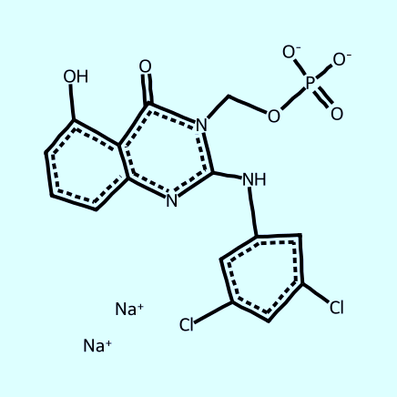 O=c1c2c(O)cccc2nc(Nc2cc(Cl)cc(Cl)c2)n1COP(=O)([O-])[O-].[Na+].[Na+]